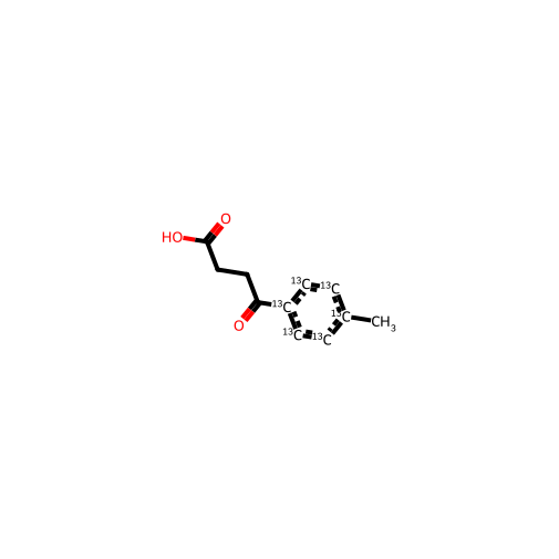 C[13c]1[13cH][13cH][13c](C(=O)CCC(=O)O)[13cH][13cH]1